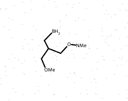 BCC(COC)CONC